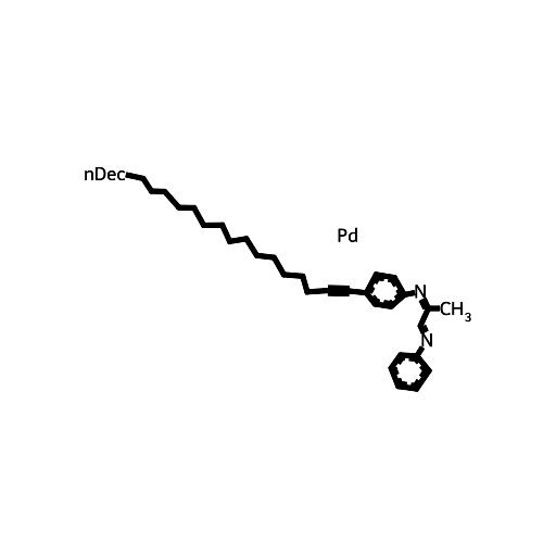 CCCCCCCCCCCCCCCCCCCCCCCCC#Cc1ccc(N=C(C)C=Nc2ccccc2)cc1.[Pd]